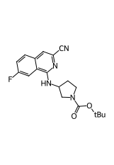 CC(C)(C)OC(=O)N1CCC(Nc2nc(C#N)cc3ccc(F)cc23)C1